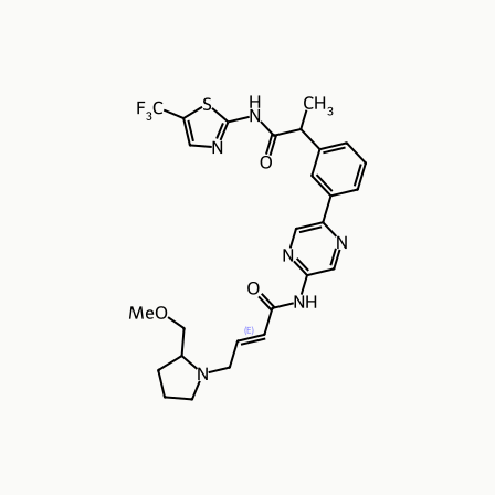 COCC1CCCN1C/C=C/C(=O)Nc1cnc(-c2cccc(C(C)C(=O)Nc3ncc(C(F)(F)F)s3)c2)cn1